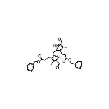 Cc1c(C=O)[nH]c(Cc2[nH]c(C=O)c(C)c2CCC(=O)OCc2ccccc2)c1CCC(=O)OCc1ccccc1